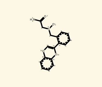 NC(=O)C[S+]([O-])Cc1ccccc1C1=COc2ccccc2O1